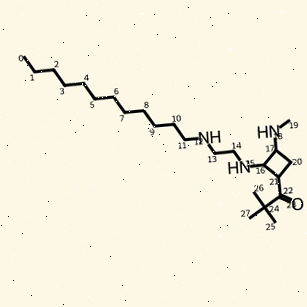 CCCCCCCCCCCCNCCNC1C(NC)CC1C(=O)C(C)(C)C